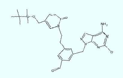 CC(C)(C)[Si](C)(C)OCc1ccc(=O)n(CCc2cc(C=O)cc(Cn3ncc4c(N)nc(Cl)nc43)c2)c1